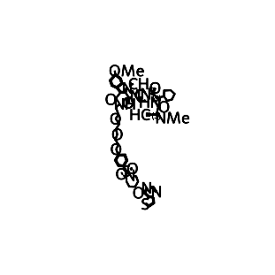 C#C[C@H](NC)C(=O)N[C@H](C(=O)N1CCN(C(=O)c2c(C(=O)NCCOCCOCCOc3ccc(S(=O)(=O)N4CCC(Oc5ncnc6ccsc56)CC4)cc3)c3ccc(OC)cc3n2C)CC1)C1CCCCC1